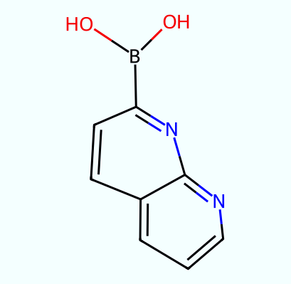 OB(O)c1ccc2cccnc2n1